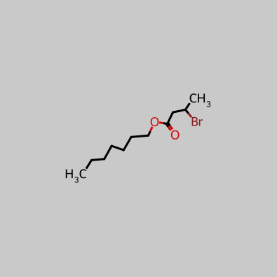 CCCCCCCOC(=O)CC(C)Br